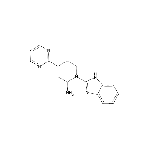 NC1CC(c2ncccn2)CCN1c1nc2ccccc2[nH]1